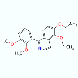 CCOc1ccc2c(-c3cccc(OC)c3OC)nccc2c1OCC